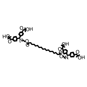 CN(CCOC(=O)CCCCCCCCCCCCCCCCC(=O)OCCN(C)C(c1ccc(C(=O)C(C)(C)O)cc1)c1ccc(C(=O)C(C)(C)O)cc1)C(c1ccc(C(=O)C(C)(C)O)cc1)c1ccc(C(=O)C(C)(C)O)cc1